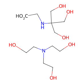 O=C(O)CNC(CO)(CO)CO.OCCN(CCO)CCO